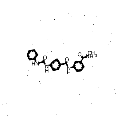 CNC(=O)c1cccc(NC(=O)c2ccc(NC(=O)Nc3ccccc3)cc2)c1